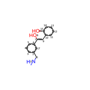 NCc1cccc(C(O)=Cc2ccccc2O)c1